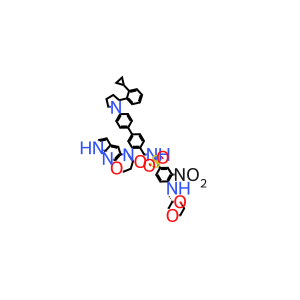 O=C(NS(=O)(=O)c1ccc(NC[C@H]2COCCO2)c([N+](=O)[O-])c1)c1ccc(-c2ccc(N3CCCC3c3ccccc3C3CC3)cc2)cc1N1CCCOc2nc3[nH]ccc3cc21